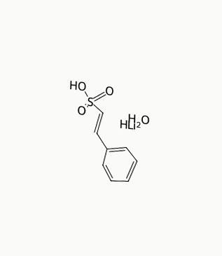 O.O=S(=O)(O)C=Cc1ccccc1.[LiH]